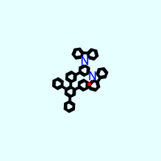 c1ccc(-c2cc(-c3ccccc3)c(-c3cccc(-c4cc(-n5c6ccccc6c6ccccc65)cc(-n5c6ccccc6c6ccccc65)c4)c3)c(-c3ccccc3)c2)cc1